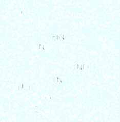 CCOC(O)c1cc(N2CCC(O)CC2)c(C(C)=N)c(Nc2ccccc2)n1